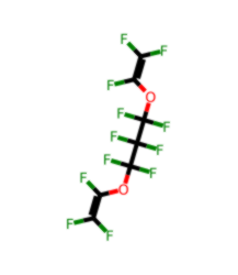 FC(F)=C(F)OC(F)(F)C(F)(F)C(F)(F)OC(F)=C(F)F